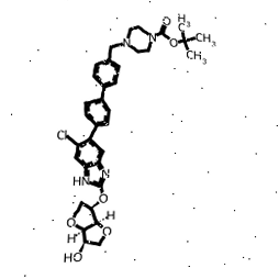 CC(C)(C)OC(=O)N1CCN(Cc2ccc(-c3ccc(-c4cc5nc(O[C@@H]6CO[C@H]7[C@@H]6OC[C@H]7O)[nH]c5cc4Cl)cc3)cc2)CC1